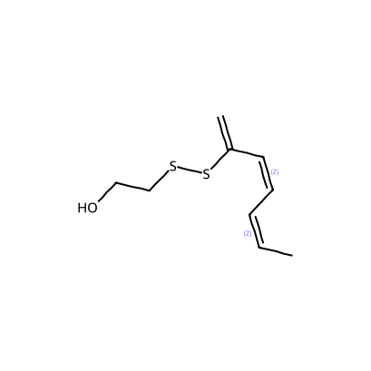 C=C(/C=C\C=C/C)SSCCO